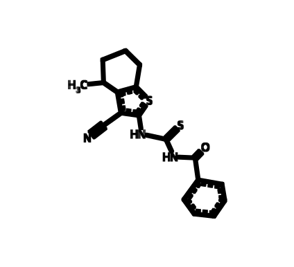 CC1CCCc2sc(NC(=S)NC(=O)c3ccccc3)c(C#N)c21